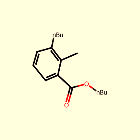 CCCCOC(=O)c1cccc(CCCC)c1C